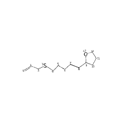 C=CCSCCCCCC1CCCO1